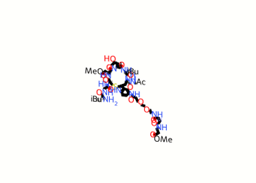 CC[C@H](C)[C@H](N)C(=O)NCC(=O)N[C@H]1CSc2[nH]c3ccc(NC(=O)CCOCCOCCNC(=O)/C=C\C(=O)NCCC(=O)OC)cc3c2C[C@@H](C(=O)NCC(C)=O)NC(=O)[C@H]([C@@H](C)CC)NC(=O)[C@@H]2C[C@@H](O)CN2C(=O)[C@H](CC(=O)OC)NC1=O